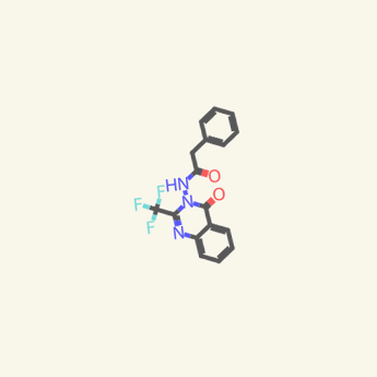 O=C(Cc1ccccc1)Nn1c(C(F)(F)F)nc2ccccc2c1=O